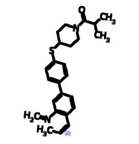 C=Nc1cc(-c2ccc(SC3CCN(C(=O)C(C)C)CC3)cc2)ccc1/C=C\C